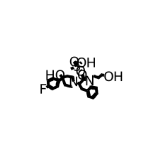 CS(=O)(=O)O.O=C1C(N2CCC(O)(c3ccc(F)cc3)CC2)Cc2ccccc2N1CCCO